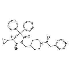 CC(C(=O)N(CC1CCN(C(=O)Cc2ccncc2)CC1)C(=N)CC1CC1)(c1ccccc1)c1ccccc1